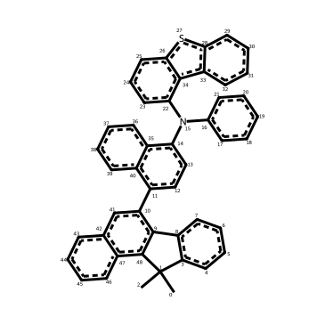 CC1(C)c2ccccc2-c2c(-c3ccc(N(c4ccccc4)c4cccc5sc6ccccc6c45)c4ccccc34)cc3ccccc3c21